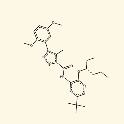 CCC[C@@H](CC)Oc1ccc(C(C)(C)C)cc1NC(=O)c1nnn(-c2cc(OC)ccc2OC)c1C